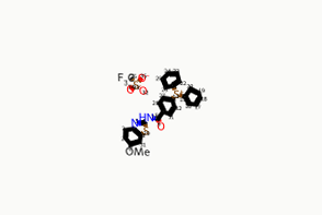 COc1ccc2nc(NC(=O)c3ccc([S+](c4ccccc4)c4ccccc4)cc3)sc2c1.O=S(=O)([O-])C(F)(F)F